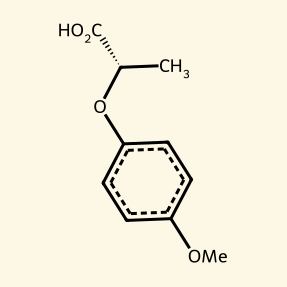 COc1ccc(O[C@@H](C)C(=O)O)cc1